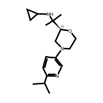 CC(C)c1ccc(N2CCO[C@H](C(C)(C)NC3CC3)C2)cn1